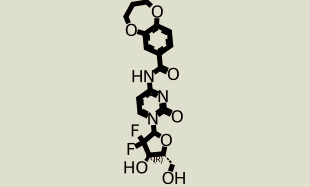 O=C(Nc1ccn(C2O[C@H](CO)[C@@H](O)C2(F)F)c(=O)n1)c1ccc2c(c1)OCCCO2